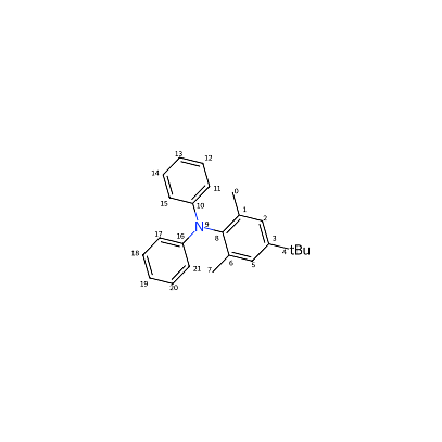 Cc1cc(C(C)(C)C)cc(C)c1N(c1ccccc1)c1ccccc1